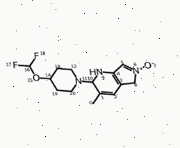 CC1=CC2=C(C=[N+]([O-])C2)NC1N1CCC(OC(F)F)CC1